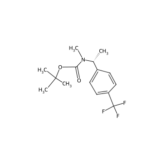 C[C@H](c1ccc(C(F)(F)F)cc1)N(C)C(=O)OC(C)(C)C